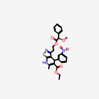 CCOC(=O)C1=C(C)Nc2snc(CCOC(=O)C(OC)c3ccccc3)c2C1c1cccc([N+](=O)[O-])c1